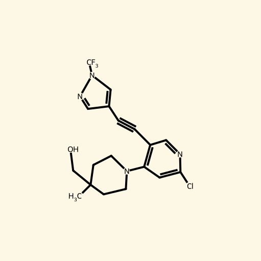 CC1(CO)CCN(c2cc(Cl)ncc2C#Cc2cnn(C(F)(F)F)c2)CC1